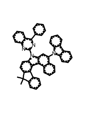 CC1(C)c2ccccc2-c2c1ccc1c2c2c3ccccc3c(-n3c4ccccc4c4ccccc43)cc2n1-c1nc(-c2ccccc2)c2ccccc2n1